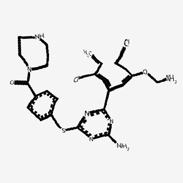 C=C/C(Cl)=C(\C=C(/CCl)OCN)c1nc(N)nc(Sc2ccc(C(=O)N3CCNCC3)cc2)n1